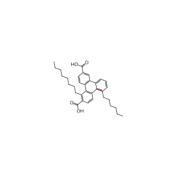 CCCCCCCCc1ccc(C(=O)O)c(CCCCCCCC)c1-c1ccc(C(=O)O)cc1-c1ccccc1